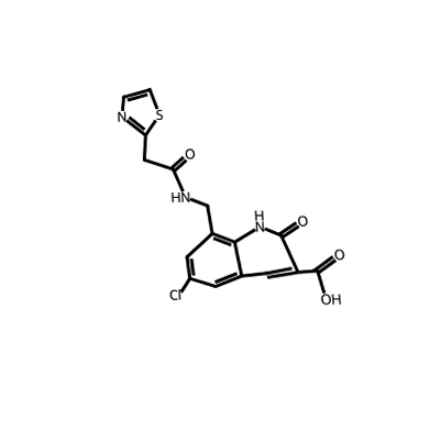 O=C(Cc1nccs1)NCc1cc(Cl)cc2cc(C(=O)O)c(=O)[nH]c12